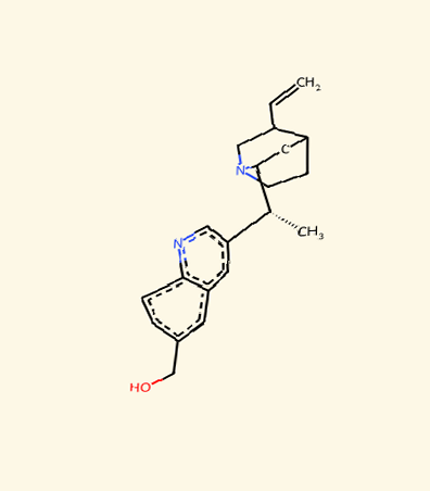 C=CC1CN2CCC1CC2[C@H](C)c1cnc2ccc(CO)cc2c1